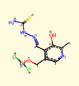 Cc1ncc(CO)c(C=NNC(N)=S)c1O.[Cl][Cu][Cl]